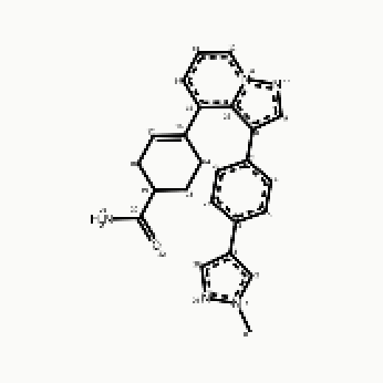 Cn1cc(-c2ccc(-c3cnn4cccc(C5=CCC(C(N)=O)CC5)c34)cc2)cn1